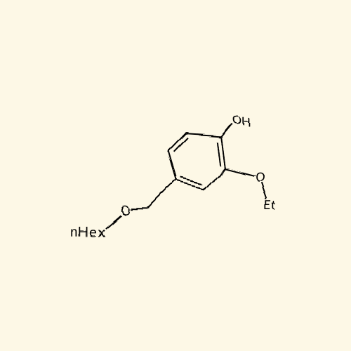 CCCCCCOCc1ccc(O)c(OCC)c1